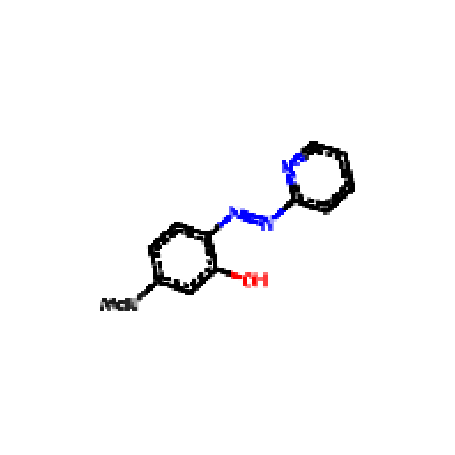 CNc1ccc(/N=N/c2ccccn2)c(O)c1